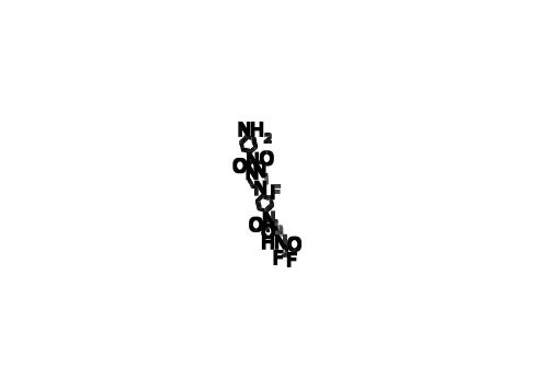 Nc1ccc(-n2c(=O)n3n(c2=O)CCN(c2ccc(N4C[C@H](CNC(=O)C(F)F)OC4=O)cc2F)CC3)cc1